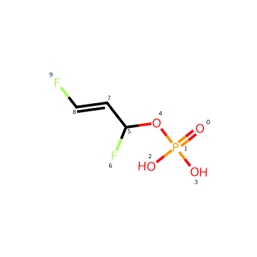 O=P(O)(O)OC(F)C=CF